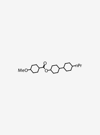 CCCC1CCC(C2CCC(OC(=O)C3CCC(OC)CC3)CC2)CC1